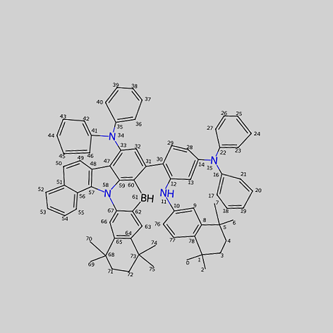 CC1(C)CCC(C)(C)c2cc(Nc3cc(N(c4ccccc4)c4ccccc4)ccc3-c3cc(N(c4ccccc4)c4ccccc4)c4c5ccc6ccccc6c5n5c4c3Bc3cc4c(cc3-5)C(C)(C)CCC4(C)C)ccc21